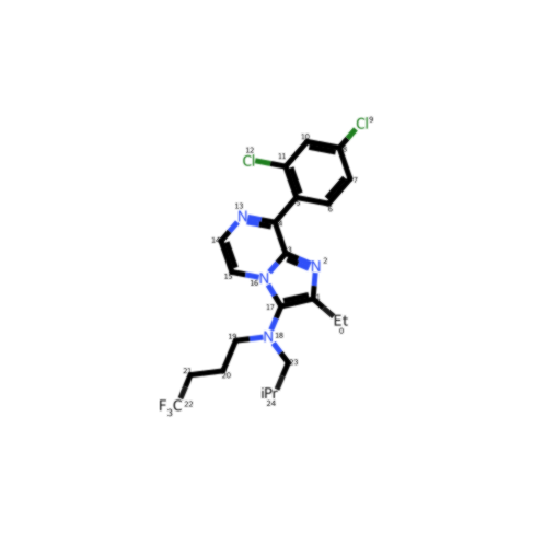 CCc1nc2c(-c3ccc(Cl)cc3Cl)nccn2c1N(CCCC(F)(F)F)CC(C)C